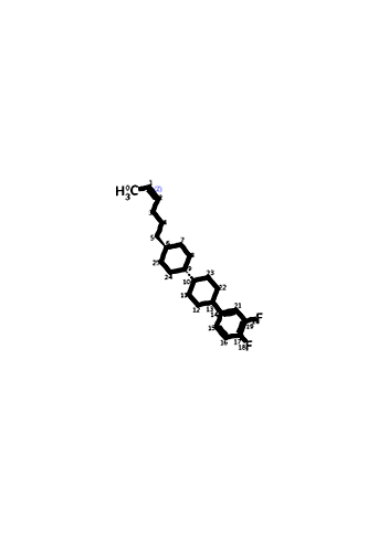 C/C=C\CCC[C@H]1CC[C@H](C2CCC(c3ccc(F)c(F)c3)CC2)CC1